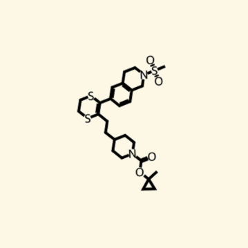 CC1(OC(=O)N2CCC(CCC3=C(c4ccc5c(c4)CCN(S(C)(=O)=O)C5)SCCS3)CC2)CC1